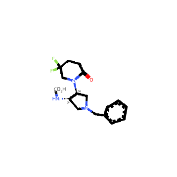 O=C(O)N[C@H]1CN(Cc2ccccc2)C[C@@H]1N1CC(F)(F)CCC1=O